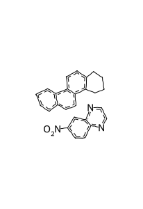 O=[N+]([O-])c1ccc2nccnc2c1.c1ccc2c(c1)ccc1c3c(ccc12)CCCC3